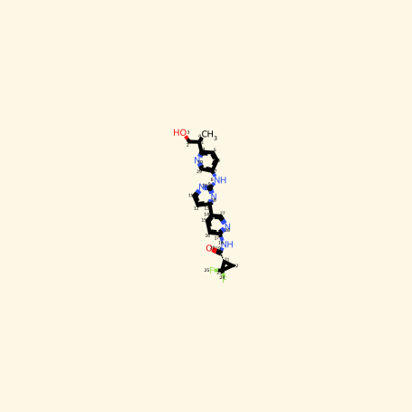 CC(CO)c1ccc(Nc2nccc(-c3ccc(NC(=O)[C@@H]4CC4(F)F)nc3)n2)cn1